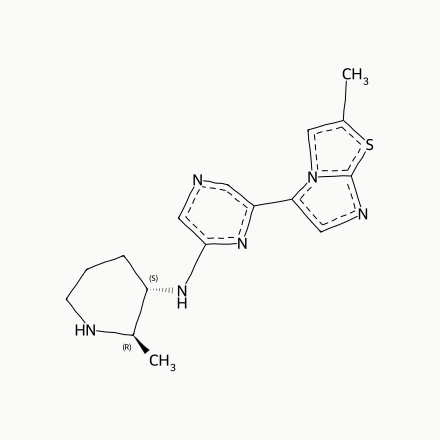 Cc1cn2c(-c3cncc(N[C@H]4CCCN[C@@H]4C)n3)cnc2s1